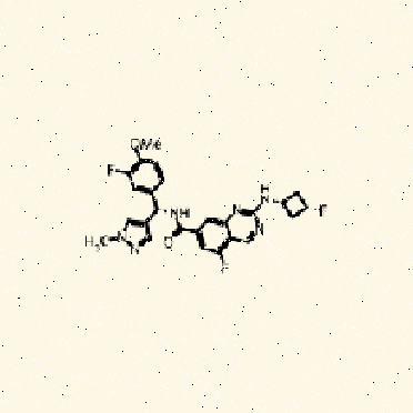 COc1ccc([C@H](NC(=O)c2cc(F)c3cnc(N[C@H]4C[C@@H](F)C4)nc3c2)c2cnn(C)c2)cc1F